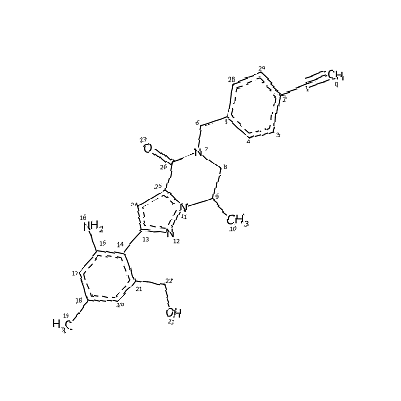 C#Cc1ccc(CN2CC(C)n3nc(-c4c(N)cc(C)cc4CO)cc3C2=O)cc1